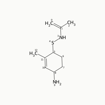 C=C(C)NSC1CCC(N)C=C1C